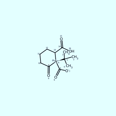 CC(C)(C)[N@@+]1(C(=O)[O-])C(=O)CCCC1C(=O)O